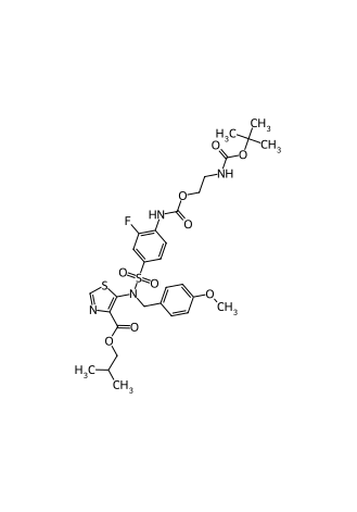 COc1ccc(CN(c2scnc2C(=O)OCC(C)C)S(=O)(=O)c2ccc(NC(=O)OCCNC(=O)OC(C)(C)C)c(F)c2)cc1